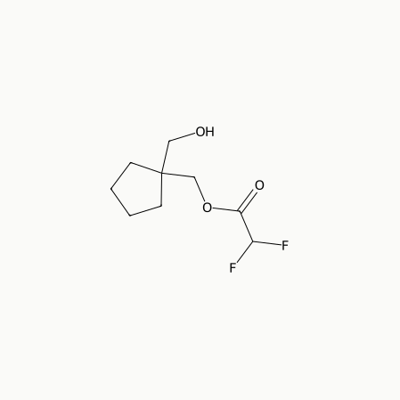 O=C(OCC1(CO)CCCC1)C(F)F